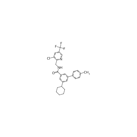 Cc1ccc(-c2cc(C(=O)NCc3ncc(C(F)(F)F)cc3Cl)cc(C3CCCCC3)c2)cc1